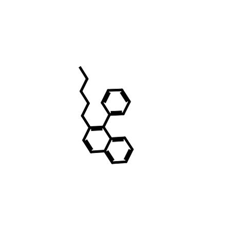 CCCCCc1ccc2ccccc2c1-c1ccccc1